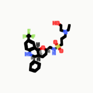 CCN(CCO)CCCS(=O)(=O)NC[C@H]1CC[C@@H]2[C@H](O1)c1cc(C(F)(F)F)ccc1N[C@H]2c1ccccc1